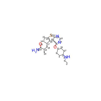 CCN[C@H]1CC[C@H](Oc2ncnc3sc4c(c23)[C@@H](C[C@@H](C)C(N)=O)CC4)CC1